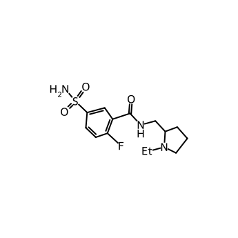 CCN1CCCC1CNC(=O)c1cc(S(N)(=O)=O)ccc1F